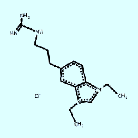 CCn1c[n+](CC)c2ccc(CCCNC(=N)N)cc21.[Cl-]